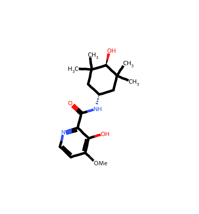 COc1ccnc(C(=O)N[C@H]2CC(C)(C)[C@H](O)C(C)(C)C2)c1O